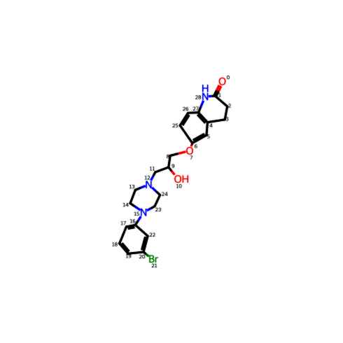 O=C1CCc2cc(OCC(O)CN3CCN(c4cccc(Br)c4)CC3)ccc2N1